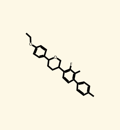 CCOc1ccc(C2CCC(c3ccc(-c4ccc(C)cc4)c(C)c3F)CO2)cc1